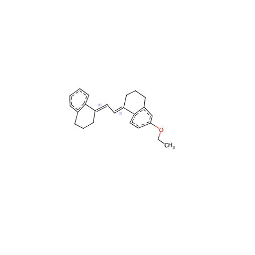 CCOc1ccc2c(c1)CCC/C2=C\C=C1/CCCc2ccccc21